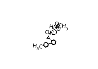 Cc1ccc(-c2ccccc2[C@@H]2C[C@H]2C(=O)N2CCC[C@H](NS(C)(=O)=O)C2)cc1